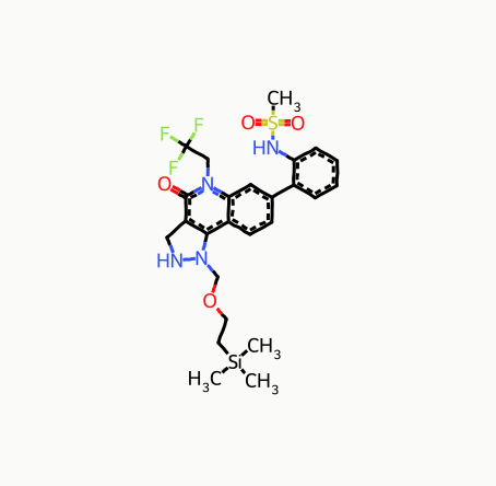 C[Si](C)(C)CCOCN1NCc2c1c1ccc(-c3ccccc3NS(C)(=O)=O)cc1n(CC(F)(F)F)c2=O